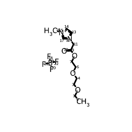 CCOCCOCCOC(=O)Cn1cc[n+](C)c1.F[B-](F)(F)F